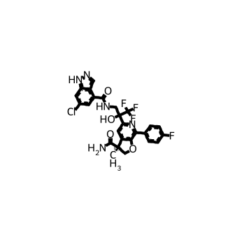 C[C@]1(C(N)=O)COc2c1cc(C(O)(CNC(=O)c1cc(Cl)cc3[nH]ncc13)C(F)(F)F)nc2-c1ccc(F)cc1